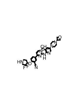 COc1cc(N2CCN(C3COC3)CC2)cnc1Nc1nccc(-c2ccc(OC3CCNCC3(F)F)c(C#N)c2)n1